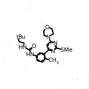 CSc1nc(-c2cc(NC(=O)NCCC(C)(C)C)ccc2C)cc(N2CCOCC2)n1